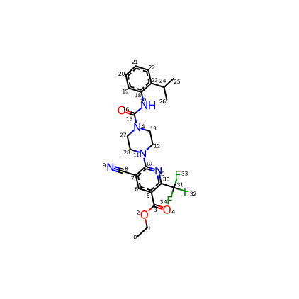 CCOC(=O)c1cc(C#N)c(N2CCN(C(=O)Nc3ccccc3C(C)C)CC2)nc1C(F)(F)F